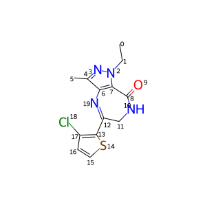 CCn1nc(C)c2c1C(=O)NCC(c1sccc1Cl)=N2